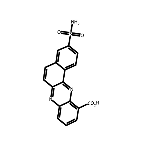 NS(=O)(=O)c1ccc2c(ccc3nc4cccc(C(=O)O)c4nc32)c1